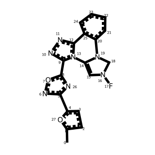 Cc1ccc(-c2noc(-c3nnc4n3C3=CN(F)CN3c3ccccc3-4)n2)o1